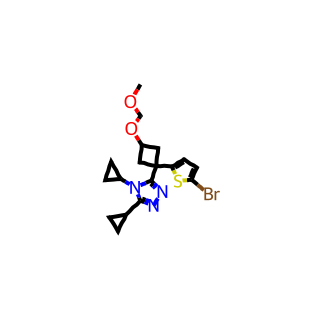 COCOC1CC(c2ccc(Br)s2)(c2nnc(C3CC3)n2C2CC2)C1